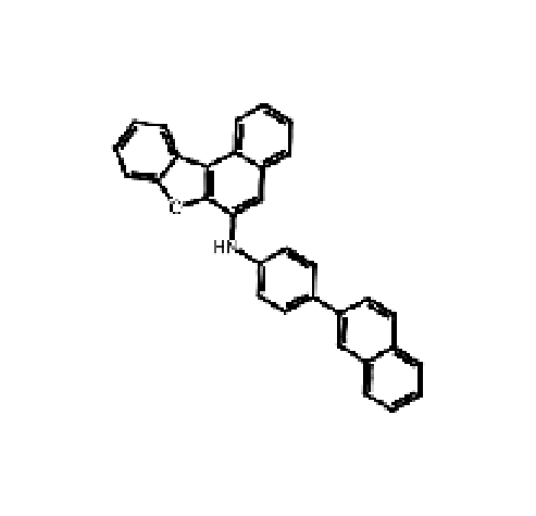 c1ccc2cc(-c3ccc(Nc4cc5ccccc5c5c4oc4ccccc45)cc3)ccc2c1